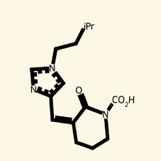 CC(C)CCn1cnc(C=C2CCCN(C(=O)O)C2=O)c1